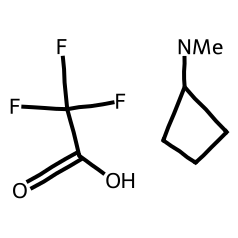 CNC1CCC1.O=C(O)C(F)(F)F